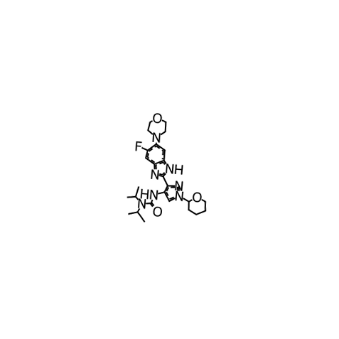 CC(C)N(C(=O)Nc1cn(C2CCCCO2)nc1-c1nc2cc(F)c(N3CCOCC3)cc2[nH]1)C(C)C